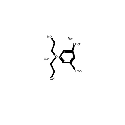 O=C([O-])c1cccc(C(=O)[O-])c1.OCCOCCO.[Na+].[Na+]